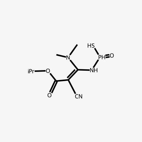 CC(C)OC(=O)C(C#N)=C(N[PH](=O)S)N(C)C